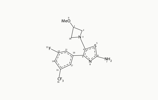 COC1CN(c2sc(N)nc2-c2cc(F)cc(C(F)(F)F)c2)C1